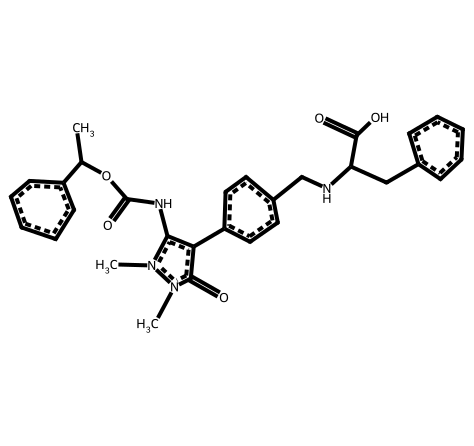 CC(OC(=O)Nc1c(-c2ccc(CNC(Cc3ccccc3)C(=O)O)cc2)c(=O)n(C)n1C)c1ccccc1